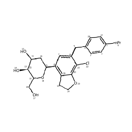 CCCc1ccc(Cc2cc(C3CC(O)[C@H](O)C(CO)O3)c3c(c2Cl)OCC3)cc1